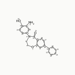 Nc1cc(N2CCOc3cc(-c4ccccc4)ccc3C2=O)ccc1O